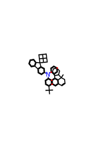 CC(C)(C)c1ccc(N(c2ccc3c(c2)C2(c4ccccc4-3)C3CC4CC5CC2C453)c2ccccc2-c2cccc3c2C(C)(C2CCCCC2)CC=C3)cc1